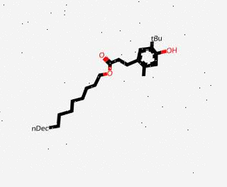 CCCCCCCCCCCCCCCCCCOC(=O)CCc1cc(C(C)(C)C)c(O)cc1C